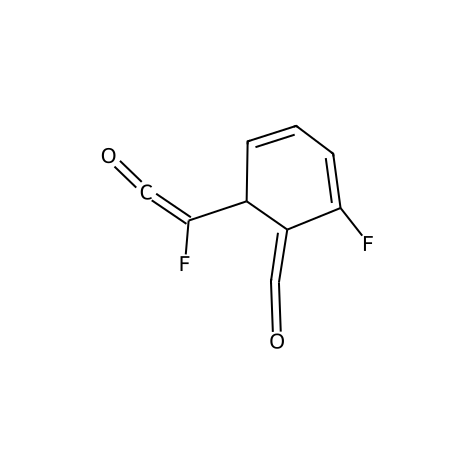 O=C=C(F)C1C=CC=C(F)C1=C=O